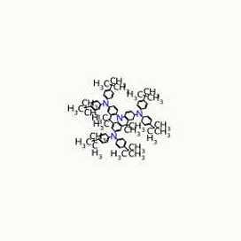 CC(C)(C)C1=CCC(N(c2ccc(C(C)(C)C)cc2)C2C=CC3=C(C2)C(C)(C)c2cc(N(c4ccc(C(C)(C)C)cc4)c4ccc(C(C)(C)C)cc4)cc4c2N3c2ccc(N(c3ccc(C(C)(C)C)cc3)c3ccc(C(C)(C)C)cc3)cc2C4(C)C)C=C1